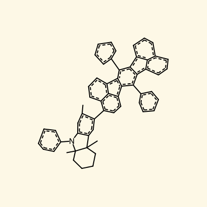 Cc1cc2c(cc1-c1ccc3c4c(-c5ccccc5)c5c6cccc7cccc(c5c(-c5ccccc5)c4c4cccc1c43)c76)C1(C)CCCCC1(C)N2c1ccccc1